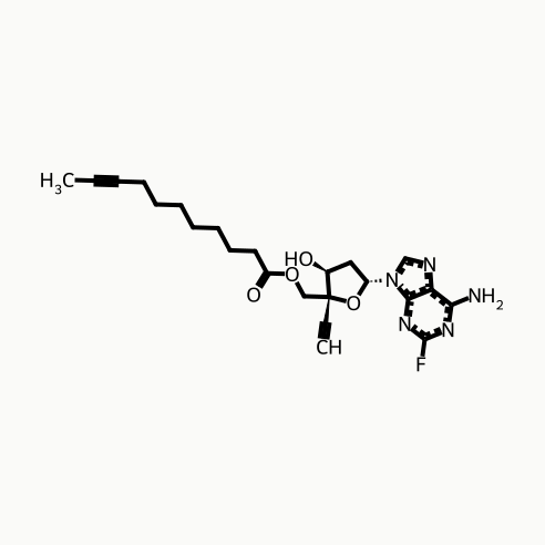 C#C[C@]1(COC(=O)CCCCCCCC#CC)O[C@@H](n2cnc3c(N)nc(F)nc32)C[C@@H]1O